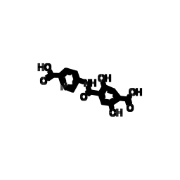 O=C(O)c1ccc(NC(=O)c2cc(O)c(C(=O)O)cc2O)cn1